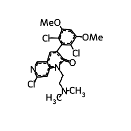 COc1cc(OC)c(Cl)c(-c2cc3cnc(Cl)cc3n(CCN(C)C)c2=O)c1Cl